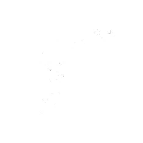 CS(=O)(=O)CCNCc1ccc(-c2cccn3nc(Nc4ccc(C(=O)NC5CC5)cc4)nc23)cc1